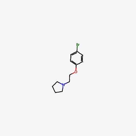 Brc1c[c]c(OCCN2CCCC2)cc1